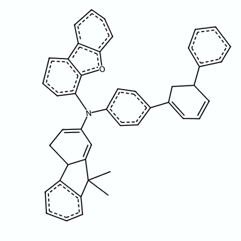 CC1(C)C2=CC(N(c3ccc(C4=CC=CC(c5ccccc5)C4)cc3)c3cccc4c3oc3ccccc34)=CCC2c2ccccc21